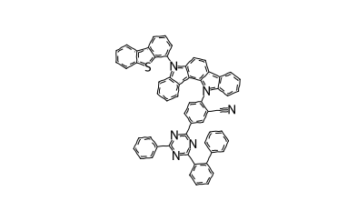 N#Cc1cc(-c2nc(-c3ccccc3)nc(-c3ccccc3-c3ccccc3)n2)ccc1-n1c2ccccc2c2ccc3c(c4ccccc4n3-c3cccc4c3sc3ccccc34)c21